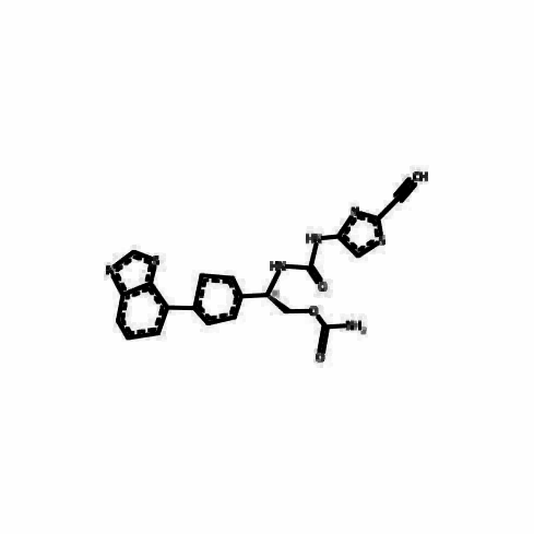 C#Cc1nc(NC(=O)N[C@@H](COC(N)=O)c2ccc(-c3cccc4ncsc34)cc2)cs1